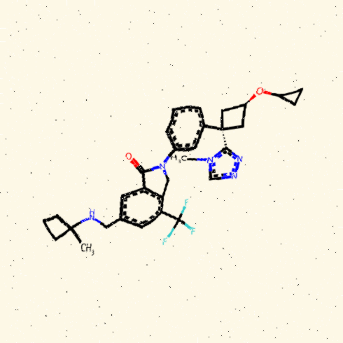 Cn1cnnc1[C@]1(c2cccc(N3Cc4c(cc(CNC5(C)CCC5)cc4C(F)(F)F)C3=O)c2)C[C@@H](OC2CC2)C1